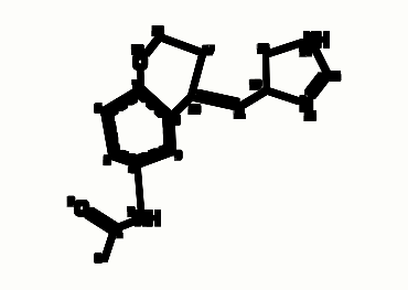 CC(=O)Nc1ccc2c(c1)/C(=C/C1CNC=N1)CCO2